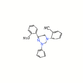 COc1ccccc1C1=NN(c2ccccc2)CN(c2ccccc2C#N)C1